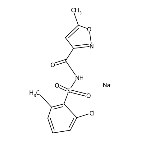 Cc1cc(C(=O)NS(=O)(=O)c2c(C)cccc2Cl)no1.[Na]